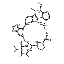 CCn1c(-c2cccnc2[C@H](C)OC)c2c3cc(ccc31)-c1cc(cc3nc[nH]c13)C[C@H](NC(=O)[C@H](C(C)C)N(C)C(C)=O)C(=O)N1CCC[C@H](N1)C(=O)OCC(C)(C)C2